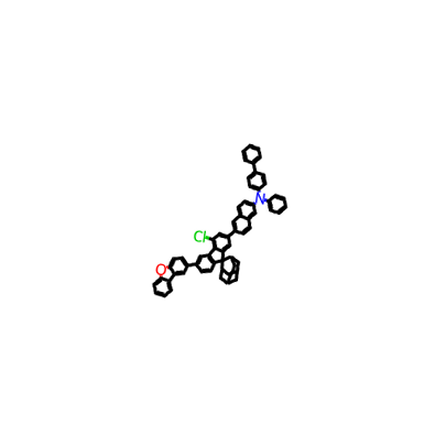 Clc1cc(-c2ccc3cc(N(c4ccccc4)c4ccc(-c5ccccc5)cc4)ccc3c2)cc2c1-c1cc(-c3ccc4oc5ccccc5c4c3)ccc1C21C2CC3CC(C2)CC1C3